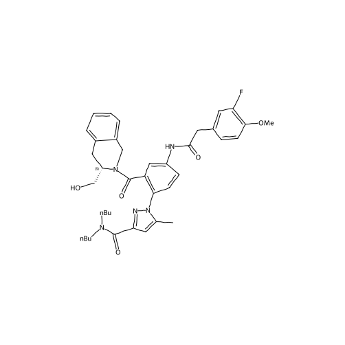 CCCCN(CCCC)C(=O)c1cc(C)n(-c2ccc(NC(=O)Cc3ccc(OC)c(F)c3)cc2C(=O)N2Cc3ccccc3C[C@H]2CO)n1